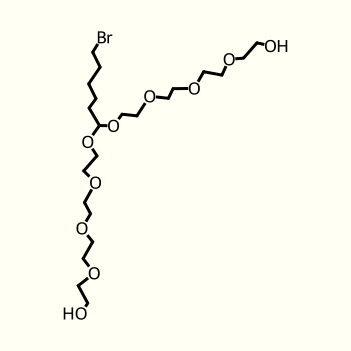 OCCOCCOCCOCCOC(CCCCCBr)OCCOCCOCCOCCO